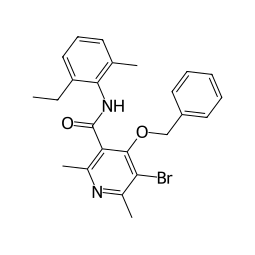 CCc1cccc(C)c1NC(=O)c1c(C)nc(C)c(Br)c1OCc1ccccc1